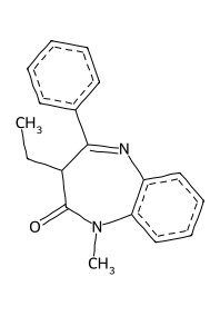 CCC1C(=O)N(C)c2ccccc2N=C1c1ccccc1